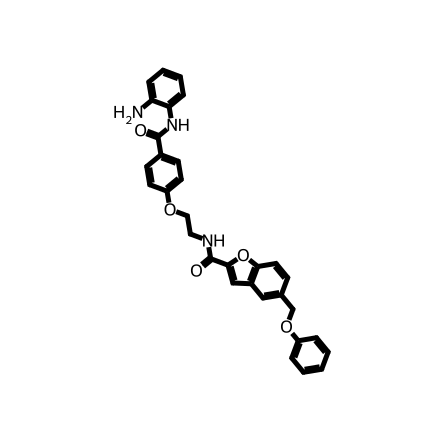 Nc1ccccc1NC(=O)c1ccc(OCCNC(=O)c2cc3cc(COc4ccccc4)ccc3o2)cc1